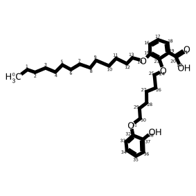 CCCCCCCCCCCCCCOc1cccc(C(=O)O)c1OCCCCCCOc1ccccc1O